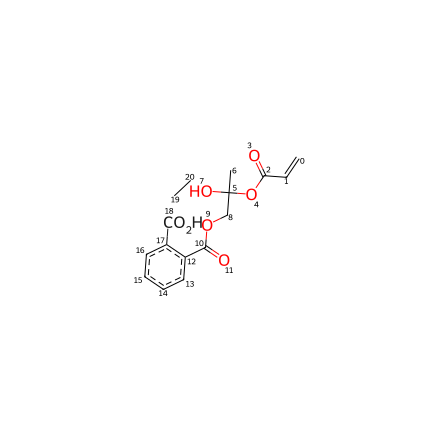 C=CC(=O)OC(C)(O)COC(=O)c1ccccc1C(=O)O.CC